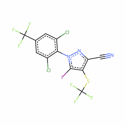 N#Cc1nn(-c2c(Cl)cc(C(F)(F)F)cc2Cl)c(I)c1SC(F)(F)F